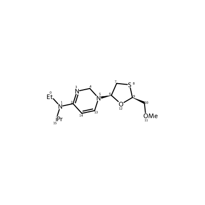 CCN(C1=NCN([C@H]2CS[C@@H](COC)O2)C=C1)C(C)C